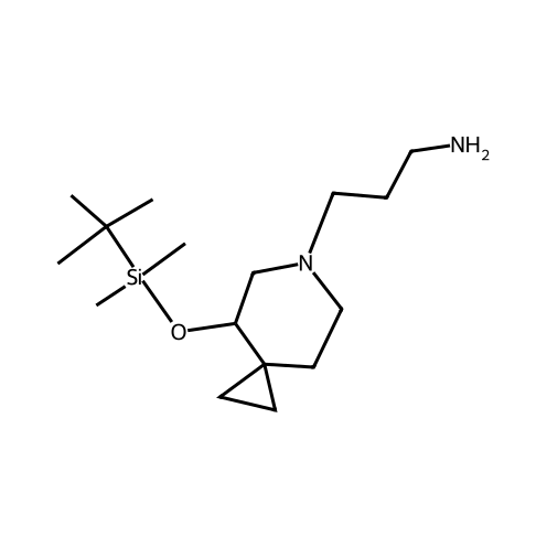 CC(C)(C)[Si](C)(C)OC1CN(CCCN)CCC12CC2